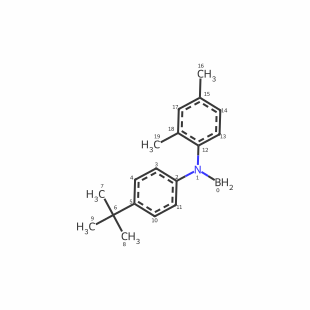 BN(c1ccc(C(C)(C)C)cc1)c1ccc(C)cc1C